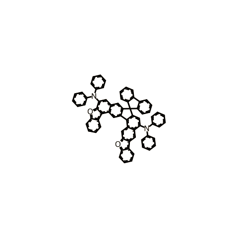 c1ccc(N(c2ccccc2)c2cc3c(c4cc5oc6ccccc6c5cc24)-c2cc4c(cc2C32c3ccccc3-c3ccccc32)cc(N(c2ccccc2)c2ccccc2)c2oc3ccccc3c24)cc1